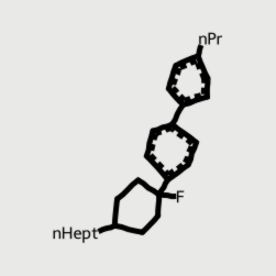 CCCCCCCC1CCC(F)(c2ccc(-c3ccc(CCC)cc3)cc2)CC1